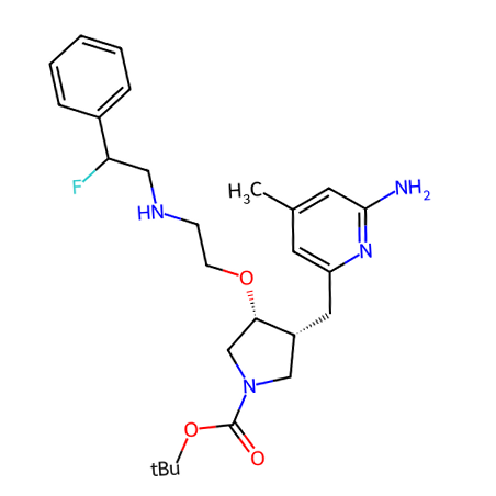 Cc1cc(N)nc(C[C@@H]2CN(C(=O)OC(C)(C)C)C[C@@H]2OCCNCC(F)c2ccccc2)c1